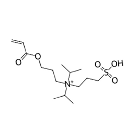 C=CC(=O)OCCC[N+](CCCS(=O)(=O)O)(C(C)C)C(C)C